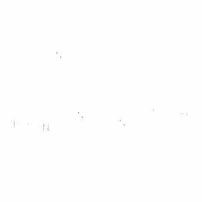 CC(C)(C)OC(=O)N1CCN(C(=NO)c2cnccc2Cl)CC1